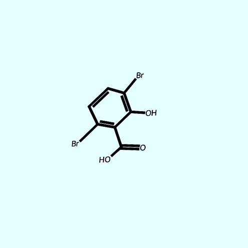 O=C(O)c1c(Br)ccc(Br)c1O